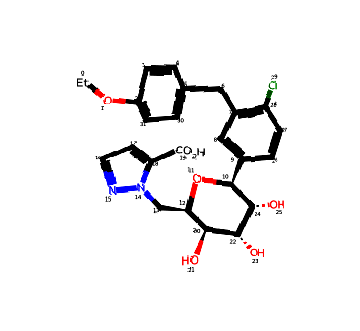 CCOc1ccc(Cc2cc([C@@H]3O[C@H](Cn4nccc4C(=O)O)[C@H](O)[C@@H](O)[C@H]3O)ccc2Cl)cc1